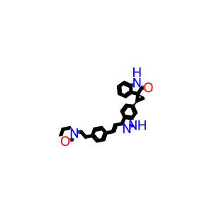 O=C1Nc2ccccc2[C@]12C[C@H]2c1ccc2c(/C=C/c3ccc(CCN4CCCOC4)cc3)n[nH]c2c1